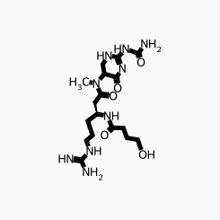 CN(C(=O)C[C@H](CCCNC(=N)N)NC(=O)CCCO)C1CNC(NC(N)=O)=NC1=O